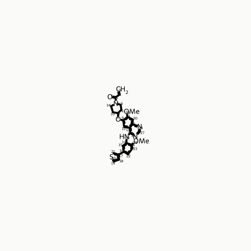 C=CC(=O)N1CCC(Oc2cc3c(Nc4cc(-c5ccsc5)ccc4OC)ncnc3cc2OC)CC1